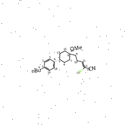 CCCCc1ccc([C@H]2CC[C@@](CCC=C(F)C#N)(OC)CC2)cc1